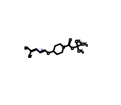 CC(C)(C)OC(=O)N1CCC(O/C=C/C=C(Br)Br)CC1